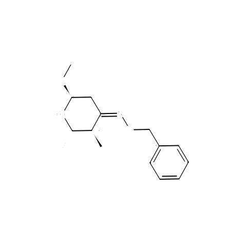 CO[C@H]1C/C(=N/OCc2ccccc2)[C@@H](C)[C@H](C)O1